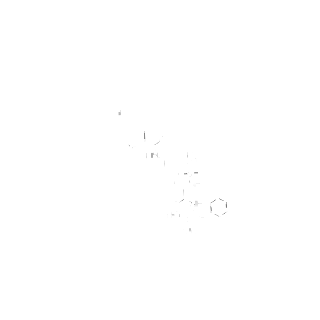 CC(C)CC/C=C(\C#N)C(=O)NCCCC[C@H](NS(C)(=O)=O)C(=O)N[C@@H](Cc1ccccc1)B(O)O